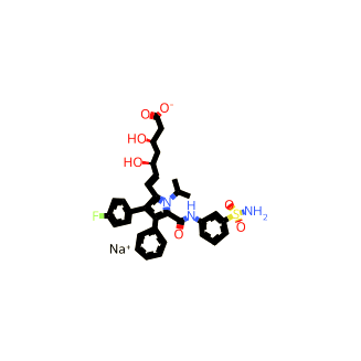 CC(C)n1c(C=C[C@@H](O)C[C@@H](O)CC(=O)[O-])c(-c2ccc(F)cc2)c(-c2ccccc2)c1C(=O)Nc1cccc(S(N)(=O)=O)c1.[Na+]